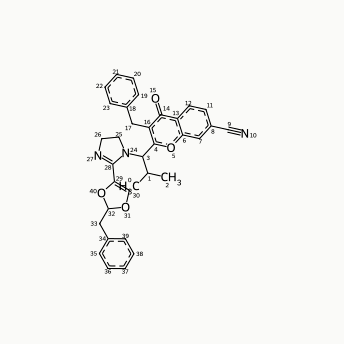 CC(C)C(c1oc2cc(C#N)ccc2c(=O)c1Cc1ccccc1)N1CCN=C1C1=COC(Cc2ccccc2)O1